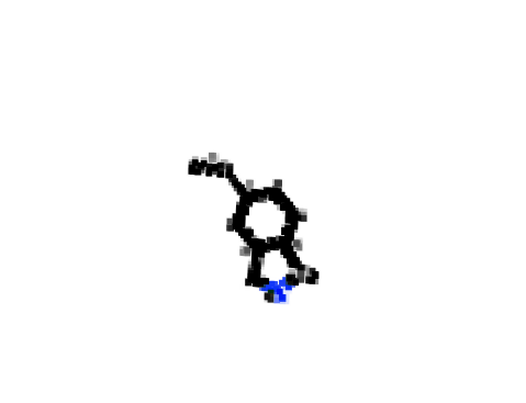 COc1ccc2[te]ncc2c1